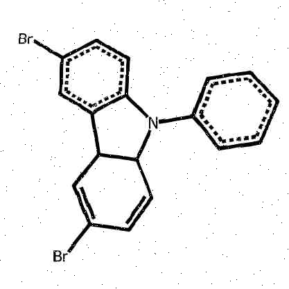 BrC1=CC2c3cc(Br)ccc3N(c3ccccc3)C2C=C1